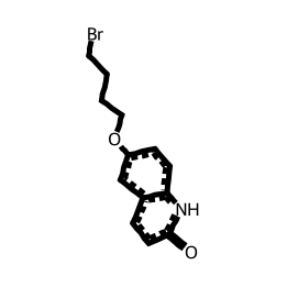 O=c1ccc2cc(OCCCCBr)ccc2[nH]1